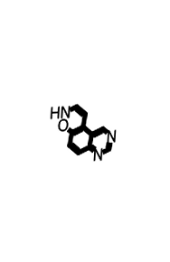 C1=Cc2c(ccc3ncncc23)ON1